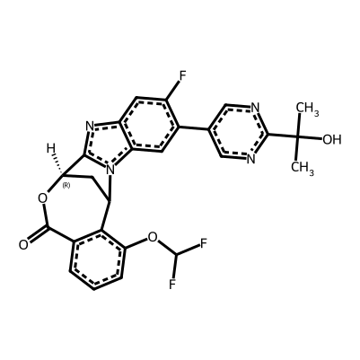 CC(C)(O)c1ncc(-c2cc3c(cc2F)nc2n3C3C[C@H]2OC(=O)c2cccc(OC(F)F)c23)cn1